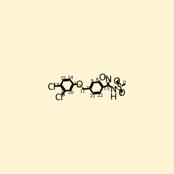 CS(=O)(=O)Nc1noc2cc(COc3ccc(Cl)c(Cl)c3)ccc12